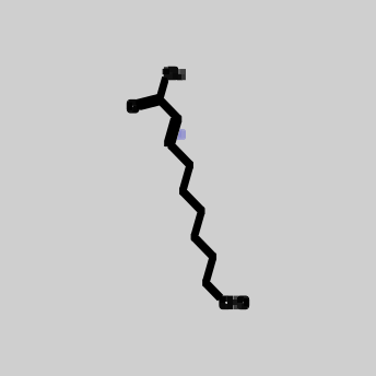 CC(C)(C)C(=O)/C=C/CCCCCCC=O